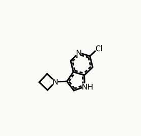 Clc1cc2[nH]cc(N3CCC3)c2cn1